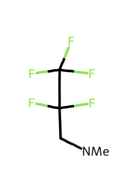 CNCC(F)(F)C(F)(F)F